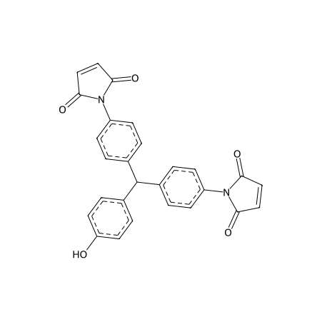 O=C1C=CC(=O)N1c1ccc(C(c2ccc(O)cc2)c2ccc(N3C(=O)C=CC3=O)cc2)cc1